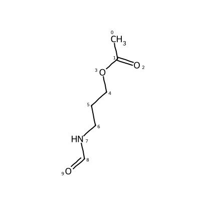 CC(=O)OCCCNC=O